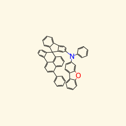 c1ccc(-c2ccc3c4c(cccc24)C2(c4ccccc4-c4ccc(N(c5ccccc5)c5ccc6c(c5)oc5ccccc56)cc42)c2ccccc2-3)cc1